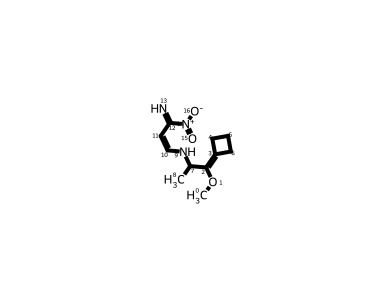 COC(=C1CCC1)C(C)N/C=C\C(=N)[N+](=O)[O-]